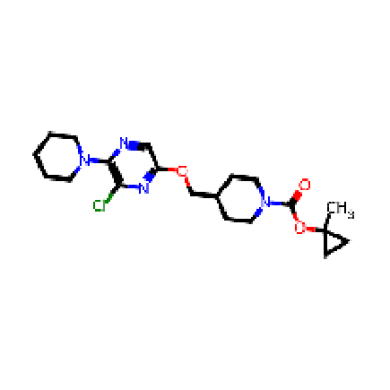 CC1(OC(=O)N2CCC(COc3cnc(N4CCCCC4)c(Cl)n3)CC2)CC1